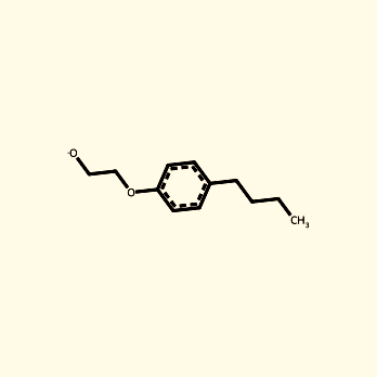 CCCCc1ccc(OCC[O])cc1